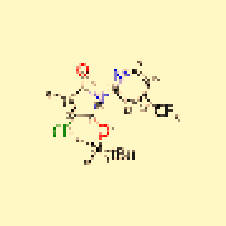 CC1=C(Cl)C(O[Si](C)(C)C(C)(C)C)N(c2cc(C(F)(F)F)ccn2)C1=O